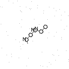 Cc1cncc(-c2ccc(-c3cc(-c4cccc(-c5ccccc5)c4)ncn3)cc2)c1